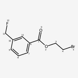 O=C(OCCBr)c1cccc(CF)c1